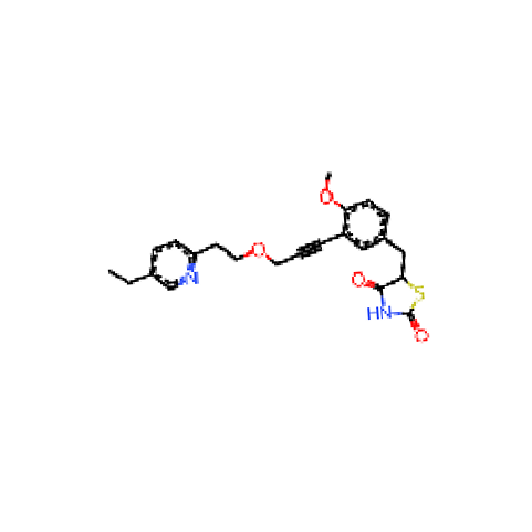 CCc1ccc(CCOCC#Cc2cc(CC3SC(=O)NC3=O)ccc2OC)nc1